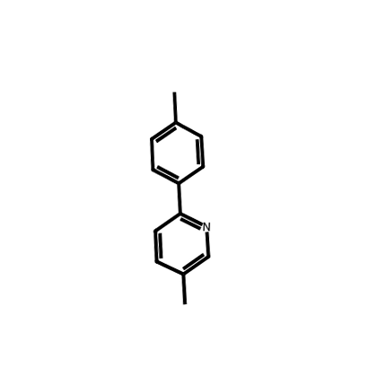 Cc1ccc(-c2ccc(C)cn2)cc1